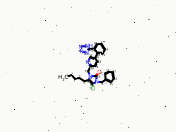 CCCCCc1c(Cl)n(Cc2ccccc2)c(=O)n1Cc1ccc(-c2ccccc2-c2nnn[nH]2)cn1